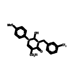 CCOC(=O)C1=CN(c2ccc(SC)cc2)C(O)N(Cc2cccc(C(F)(F)F)c2)C1=O